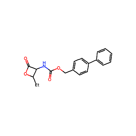 CCC1OC(=O)C1NC(=O)OCc1ccc(-c2ccccc2)cc1